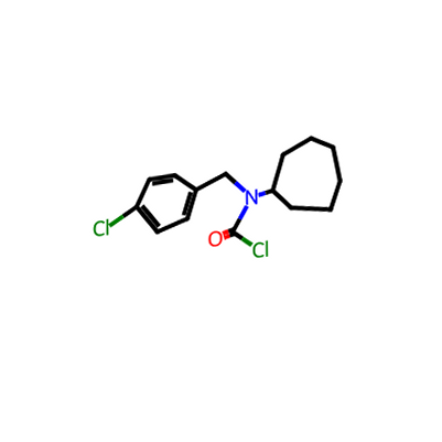 O=C(Cl)N(Cc1ccc(Cl)cc1)C1CCCCCC1